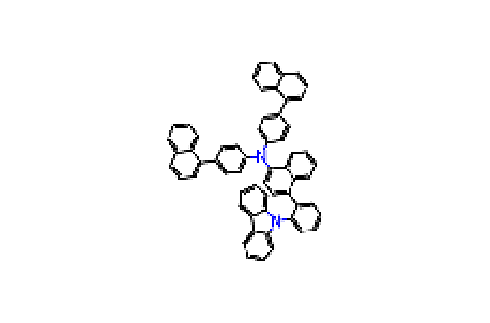 c1ccc(-n2c3ccccc3c3ccccc32)c(-c2ccc(N(c3ccc(-c4cccc5ccccc45)cc3)c3ccc(-c4cccc5ccccc45)cc3)c3ccccc23)c1